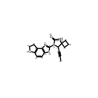 CC#CC1N(c2nc3c4c(ccc3s2)OCC4)C(=O)NC12CCC2